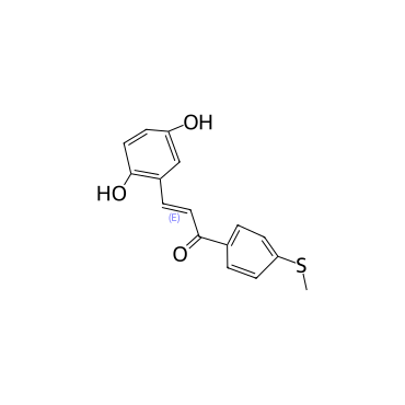 CSc1ccc(C(=O)/C=C/c2cc(O)ccc2O)cc1